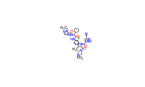 CCn1nccc1C(=O)N[C@H](C(=O)Nc1ccc([C@H](C)[C@@H](NC(=O)c2cc(C#N)n[nH]2)C(=O)N2CCN(C)CC2)cc1F)C1CCCCC1